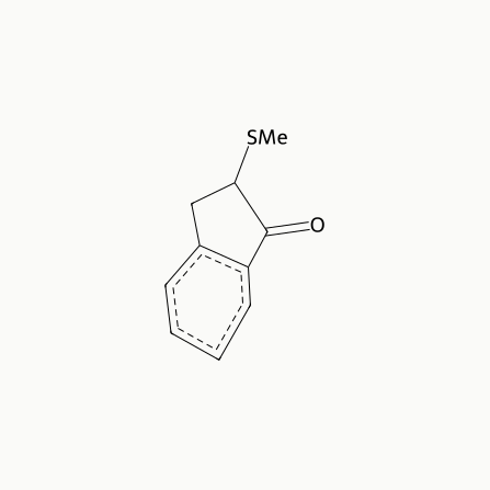 CSC1Cc2ccccc2C1=O